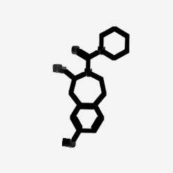 CC(C)(C)C1Cc2cc(O)ccc2CCN1C(=O)N1CCCCC1